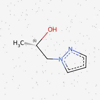 C[C@H](O)Cn1cccn1